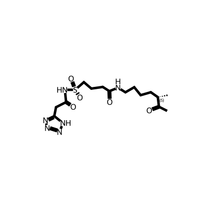 CC(=O)[C@@H](C)CCCCNC(=O)CCCS(=O)(=O)NC(=O)Cc1nnn[nH]1